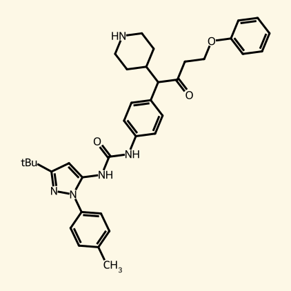 Cc1ccc(-n2nc(C(C)(C)C)cc2NC(=O)Nc2ccc(C(C(=O)CCOc3ccccc3)C3CCNCC3)cc2)cc1